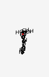 CC1(C(=O)O)CC(O)CN1C(=O)c1ccc(-c2ccc(OCC3CCN(CC4(C(F)(F)F)CCC4)CC3)cn2)cc1F